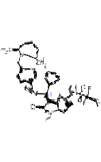 CC1CCCC(C)N1Cc1ccc(N/C(=C2\C(=O)Nc3ccc(NS(=O)(=O)C(F)(F)F)cc32)c2ccccc2)cc1